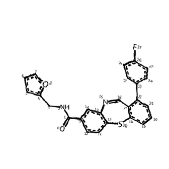 O=C(NCc1ccco1)c1ccc2c(c1)N=Cc1c(cccc1-c1ccc(F)cc1)S2